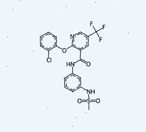 CS(=O)(=O)Nc1cccc(NC(=O)c2cc(C(F)(F)F)cnc2Oc2ccccc2Cl)c1